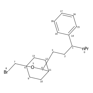 [CH2]CCC(CC[C]1OC2(CBr)CCC1CC2)c1ccccc1